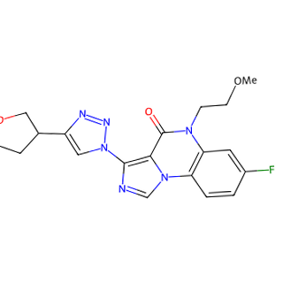 COCCn1c(=O)c2c(-n3cc(C4CCOC4)nn3)ncn2c2ccc(F)cc21